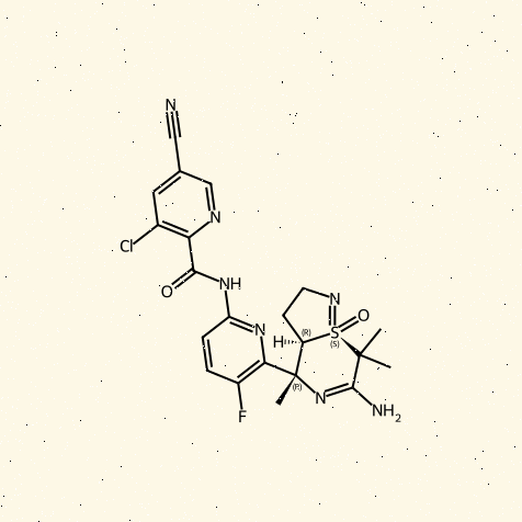 CC1(C)C(N)=N[C@](C)(c2nc(NC(=O)c3ncc(C#N)cc3Cl)ccc2F)[C@H]2CCN=[S@]21=O